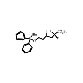 CCOC(=O)C(F)(F)CC(I)CCO[Si](c1ccccc1)(c1ccccc1)C(C)(C)C